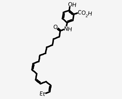 CC/C=C\C/C=C\C/C=C\CCCCCCCC(=O)Nc1ccc(O)c(C(=O)O)c1